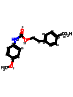 O=C(Nc1ccc(OC(F)(F)F)cc1)OCCc1ccc(C(=O)O)cc1